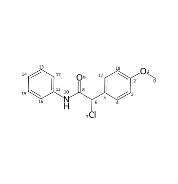 COc1ccc(C(Cl)C(=O)Nc2ccccc2)cc1